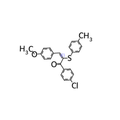 COc1ccc(/C=C(/Sc2ccc(C)cc2)C(=O)c2ccc(Cl)cc2)cc1